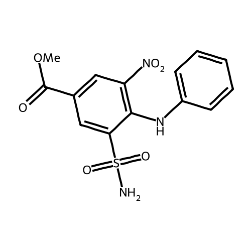 COC(=O)c1cc([N+](=O)[O-])c(Nc2ccccc2)c(S(N)(=O)=O)c1